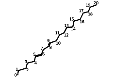 CCCCC/C=C/C/C=C/CCCCCCCCCCC